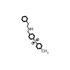 Cc1ccc(S(=O)(=O)c2ccc(CNCCc3ccccc3)cc2)cc1